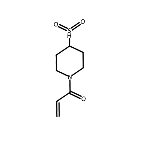 C=CC(=O)N1CCC([SH](=O)=O)CC1